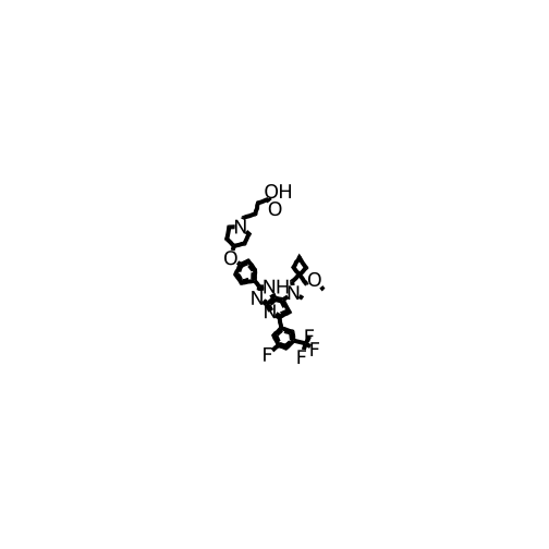 COCC1(CN(C)c2cc(-c3cc(F)cc(C(F)(F)F)c3)nc3nc(-c4ccc(OC5CCN(CCCC(=O)O)CC5)cc4)[nH]c23)CCC1